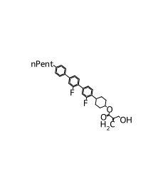 C=C(CO)C(=O)OC1CCC(c2ccc(-c3ccc(-c4ccc(CCCCC)cc4)cc3F)cc2F)CC1